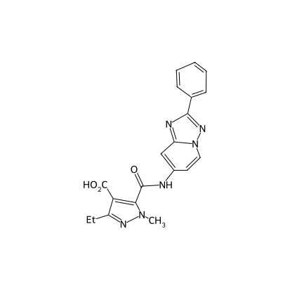 CCc1nn(C)c(C(=O)Nc2ccn3nc(-c4ccccc4)nc3c2)c1C(=O)O